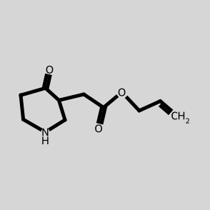 C=CCOC(=O)CC1CNCCC1=O